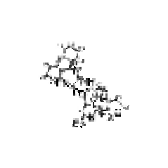 CCc1ccc(-c2c(C(=O)N[C@H]3N=C(c4ccccc4)c4ccccc4NC3=O)cnn2C2CCOCC2)c(F)n1